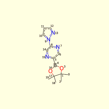 CC1(C)OB(c2cnc(-n3cccn3)cn2)OC1(C)C